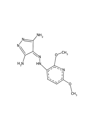 COc1ccc(NN=C2C(N)=NN=C2N)c(OC)n1